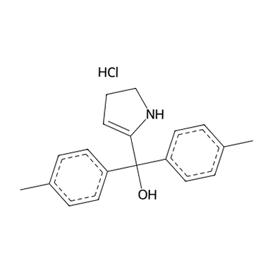 Cc1ccc(C(O)(C2=CCCN2)c2ccc(C)cc2)cc1.Cl